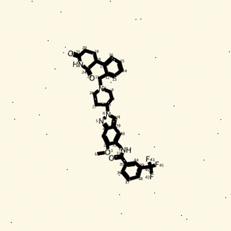 COc1cc2nn(C3CCN(Cc4ccccc4C4CCC(=O)NC4=O)CC3)cc2cc1NC(=O)c1cccc(C(F)(F)F)c1